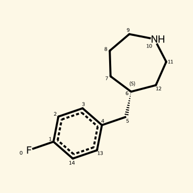 Fc1ccc(C[C@@H]2CCCNCC2)cc1